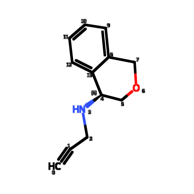 C#CCN[C@@H]1COCc2ccccc21